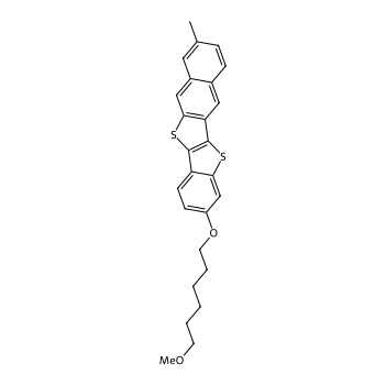 COCCCCCCOc1ccc2c(c1)sc1c3cc4ccc(C)cc4cc3sc21